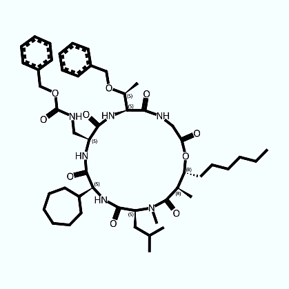 CCCCCC[C@H]1OC(=O)CNC(=O)[C@H]([C@H](C)OCc2ccccc2)NC(=O)[C@H](CNC(=O)OCc2ccccc2)NC(=O)[C@H](C2CCCCCC2)NC(=O)[C@H](CC(C)C)N(C)C(=O)[C@@H]1C